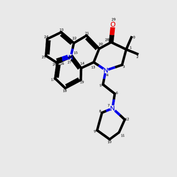 CC1(C)CN(CCN2CCCCC2)C(c2ccccc2)/C(=C\c2ccccn2)C1=O